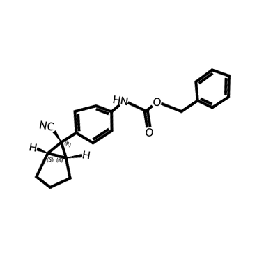 N#C[C@@]1(c2ccc(NC(=O)OCc3ccccc3)cc2)[C@@H]2CCC[C@@H]21